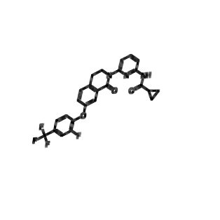 O=C(Nc1cccc(N2CCc3ccc(Oc4ccc(C(F)(F)F)cc4F)cc3C2=O)n1)C1CC1